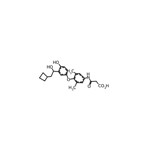 Cc1cc(NC(=O)CC(=O)O)cc(C)c1Oc1ccc(O)c(C(O)CC2CCC2)c1